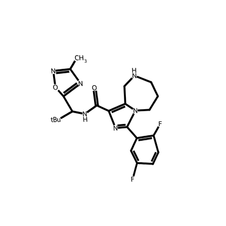 Cc1noc(C(NC(=O)c2nc(-c3cc(F)ccc3F)n3c2CNCCC3)C(C)(C)C)n1